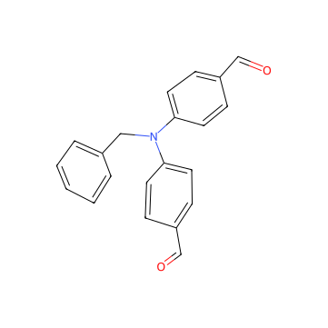 O=Cc1ccc(N(Cc2ccccc2)c2ccc(C=O)cc2)cc1